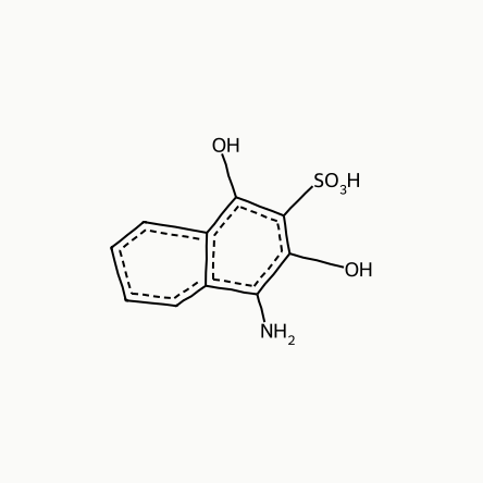 Nc1c(O)c(S(=O)(=O)O)c(O)c2ccccc12